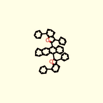 c1ccc(-c2c(-c3c4ccccc4c(-c4oc5c(-c6ccccc6)cccc5c4-c4ccccc4)c4cc5ccccc5cc34)oc3c(-c4ccccc4)cccc23)cc1